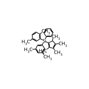 CC1=C(C)C(C)C([Si](c2ccccc2)(c2cc(C)cc(C)c2)c2cc(C)ccc2C)=C1C